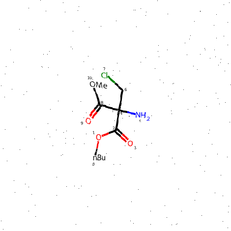 CCCCOC(=O)C(N)(CCl)C(=O)OC